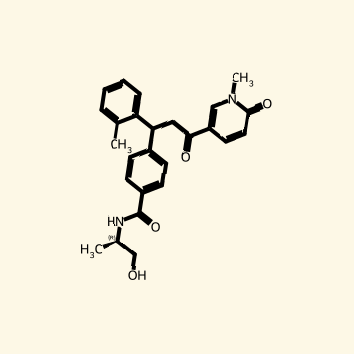 Cc1ccccc1C(CC(=O)c1ccc(=O)n(C)c1)c1ccc(C(=O)N[C@H](C)CO)cc1